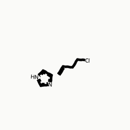 C=CCCCl.c1c[nH]cn1